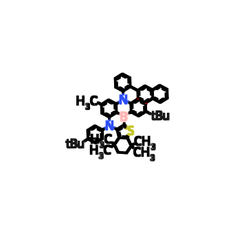 Cc1cc2c3c(c1)N(c1ccc(C(C)(C)C)cc1)c1c(sc4c1C(C)(C)CCC4(C)C)B3c1cc(C(C)(C)C)ccc1N2c1ccccc1-c1ccc2ccccc2c1